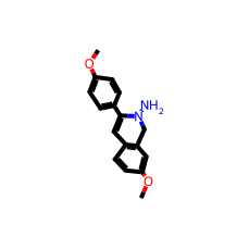 COc1ccc(C2=Cc3ccc(OC)cc3CN2N)cc1